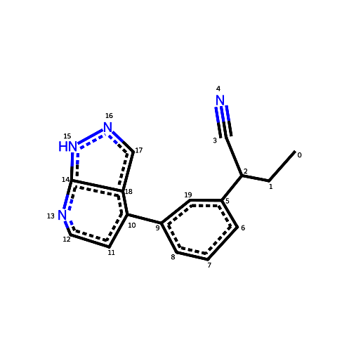 CCC(C#N)c1cccc(-c2ccnc3[nH]ncc23)c1